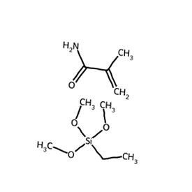 C=C(C)C(N)=O.CC[Si](OC)(OC)OC